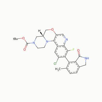 Cc1ccc2c(c1-c1c(Cl)cc3c4c(cnc3c1F)OC[C@H]1CN(C(=O)OC(C)(C)C)CCN41)C(=O)NC2